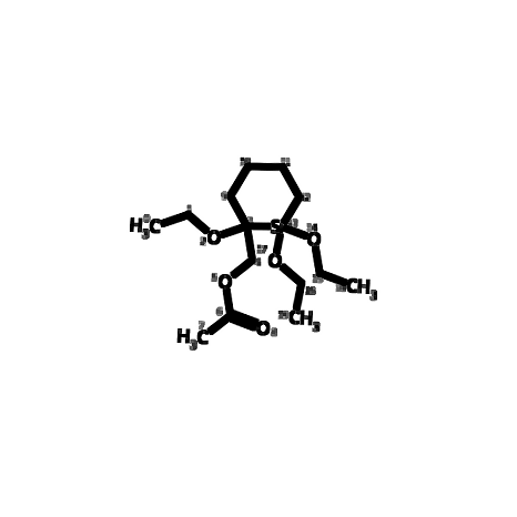 CCOC1(COC(C)=O)CCCC[Si]1(OCC)OCC